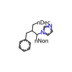 CCCCCCCCCCCC(Cc1ccccc1)C(CCCCCCCCC)n1ccnc1